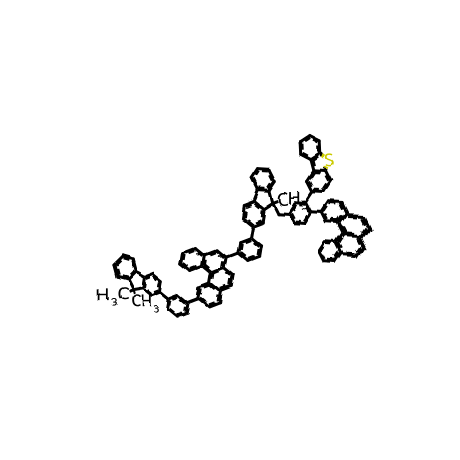 CC1(C)c2ccccc2-c2ccc(-c3cccc(-c4ccc5ccc6c(-c7cccc(-c8ccc9c(c8)C(C)(Cc8ccc(-c%10ccc%11ccc%12ccc%13ccccc%13c%12c%11c%10)c(-c%10ccc%11sc%12ccccc%12c%11c%10)c8)c8ccccc8-9)c7)cc7ccccc7c6c5c4)c3)cc21